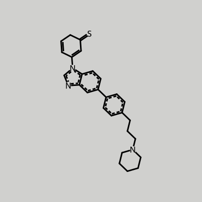 S=C1C=C(n2cnc3cc(-c4ccc(CCCN5CCCCC5)cc4)ccc32)C=CC1